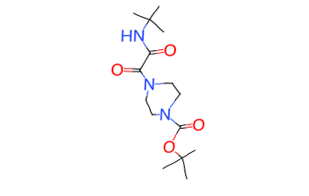 CC(C)(C)NC(=O)C(=O)N1CCN(C(=O)OC(C)(C)C)CC1